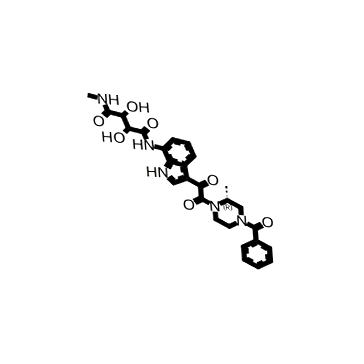 CNC(=O)C(O)C(O)C(=O)Nc1cccc2c(C(=O)C(=O)N3CCN(C(=O)c4ccccc4)C[C@H]3C)c[nH]c12